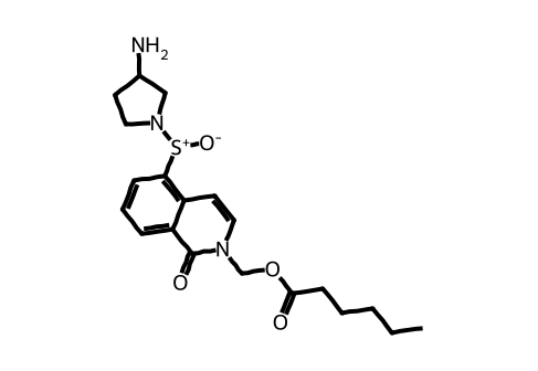 CCCCCC(=O)OCn1ccc2c([S+]([O-])N3CCC(N)C3)cccc2c1=O